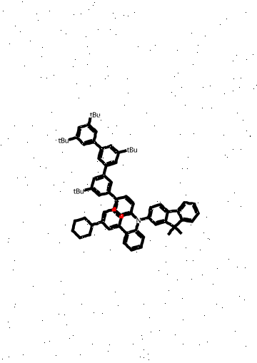 CC(C)(C)c1cc(-c2ccc(N(c3ccc4c(c3)C(C)(C)c3ccccc3-4)c3ccccc3-c3cccc(C4CCCCC4)c3)cc2)cc(-c2cc(-c3cc(C(C)(C)C)cc(C(C)(C)C)c3)cc(C(C)(C)C)c2)c1